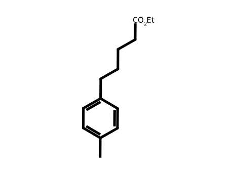 CCOC(=O)CCCCc1ccc(C)cc1